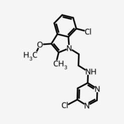 COc1c(C)n(CCNc2cc(Cl)ncn2)c2c(Cl)cccc12